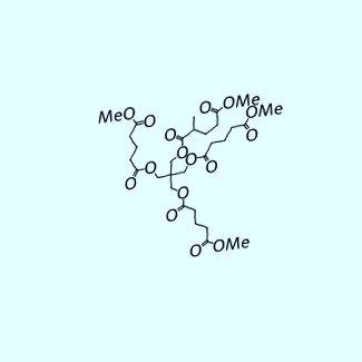 COC(=O)CCCC(=O)OCC(COC(=O)CCCC(=O)OC)(COC(=O)CCCC(=O)OC)COC(=O)C(C)CCC(=O)OC